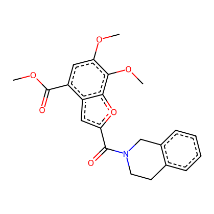 COC(=O)c1cc(OC)c(OC)c2oc(C(=O)N3CCc4ccccc4C3)cc12